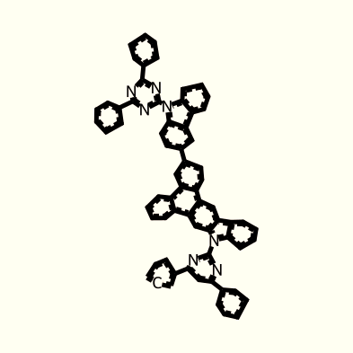 c1ccc(-c2cc(-c3ccccc3)nc(-n3c4ccccc4c4cc5c6ccc(-c7ccc8c(c7)c7ccccc7n8-c7nc(-c8ccccc8)nc(-c8ccccc8)n7)cc6c6ccccc6c5cc43)n2)cc1